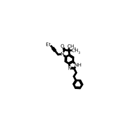 CCC#CCN1C(=O)C(C)(C)c2cc3[nH]c(CCc4ccccc4)nc3cc21